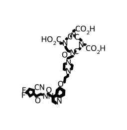 N#C[C@@H]1CC(F)(F)CC1C(=O)CNC(=O)c1ccnc2ccc(OCCCN3CCN(C(=O)CN4CCN(CC(=O)O)CCN(CC(=O)O)CCN(CC(=O)O)CC4)CC3)cc12